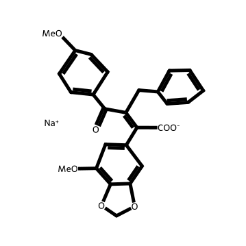 COc1ccc(C(=O)C(Cc2ccccc2)=C(C(=O)[O-])c2cc(OC)c3c(c2)OCO3)cc1.[Na+]